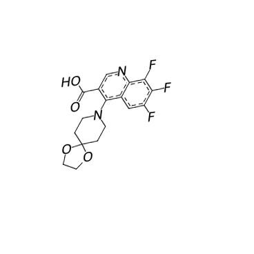 O=C(O)c1cnc2c(F)c(F)c(F)cc2c1N1CCC2(CC1)OCCO2